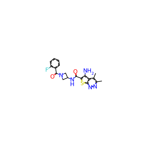 Cc1nnc2sc(C(=O)NC3CN(C(=O)c4ccccc4F)C3)c(N)c2c1C